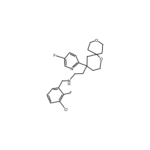 Fc1ccc(C2(CCNCc3cccc(Cl)c3F)CCOC3(CCOCC3)C2)nc1